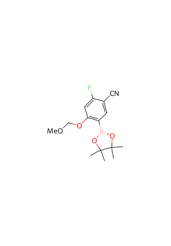 COCOc1cc(F)c(C#N)cc1B1OC(C)(C)C(C)(C)O1